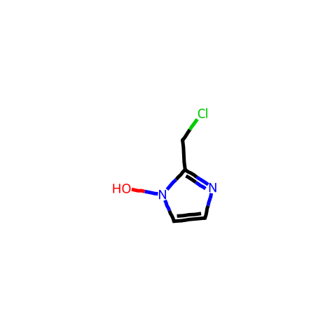 On1ccnc1CCl